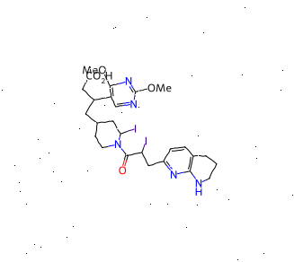 COc1ncc(C(CC(=O)O)CC2CCN(C(=O)C(I)Cc3ccc4c(n3)NCCC4)C(I)C2)c(OC)n1